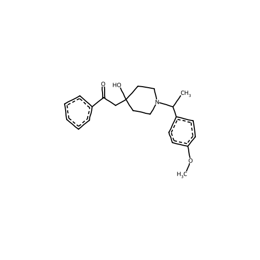 COc1ccc(C(C)N2CCC(O)(CC(=O)c3ccccc3)CC2)cc1